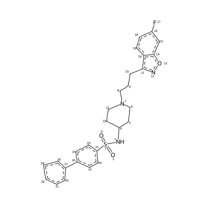 O=S(=O)(NC1CCN(CCCc2noc3cc(F)ccc23)CC1)c1ccc(-c2ccccc2)cc1